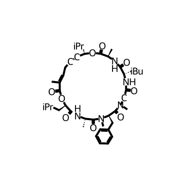 CCC(C)[C@@H]1NC(=O)CN(C)C(=O)[C@@H](Cc2ccccc2)N(C)C(=O)[C@H](C)NC(=O)[C@@H](CC(C)C)OC(=O)/C(C)=C/CCC[C@H](C(C)C)OC(=O)[C@@H](C)NC1=O